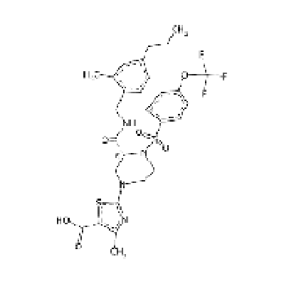 CCCc1ccc(CNC(=O)[C@H]2CN(c3nc(C)c(C(=O)O)s3)CCN2S(=O)(=O)c2ccc(OC(F)(F)F)cc2)c(C)c1